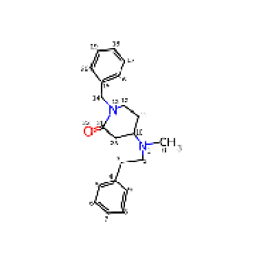 CN(CCc1ccccc1)C1CCN(Cc2ccccc2)C(=O)C1